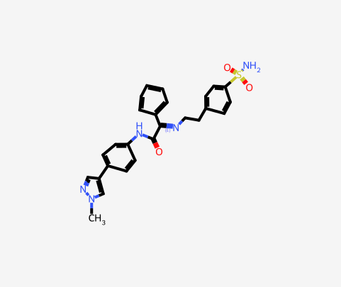 Cn1cc(-c2ccc(NC(=O)/C(=N/CCc3ccc(S(N)(=O)=O)cc3)c3ccccc3)cc2)cn1